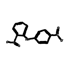 O=[N+]([O-])c1ccc(Nc2ccccc2[N+](=O)[O-])cc1